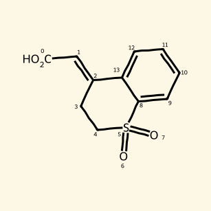 O=C(O)/C=C1\CCS(=O)(=O)c2ccccc21